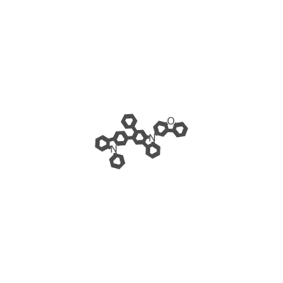 c1ccc(-c2cc3c(cc2-c2ccc4c5ccccc5n(-c5ccccc5)c4c2)c2ccccc2n3-c2ccc3oc4ccccc4c3c2)cc1